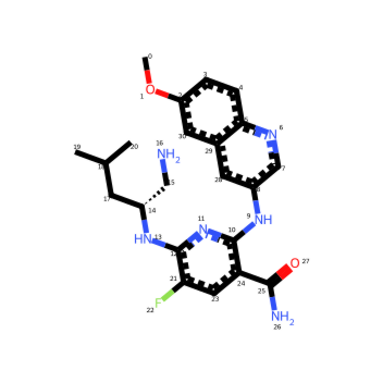 COc1ccc2ncc(Nc3nc(N[C@@H](CN)CC(C)C)c(F)cc3C(N)=O)cc2c1